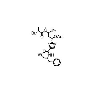 CCC(C)[C@H](C)C(=O)N(C)[C@H](CC(OC(C)=O)c1nc(C(=O)N[C@@H](Cc2ccccc2)CC(C)C)cs1)C(C)C